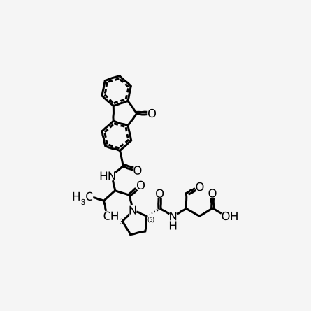 CC(C)C(NC(=O)c1ccc2c(c1)C(=O)c1ccccc1-2)C(=O)N1CCC[C@H]1C(=O)NC(C=O)CC(=O)O